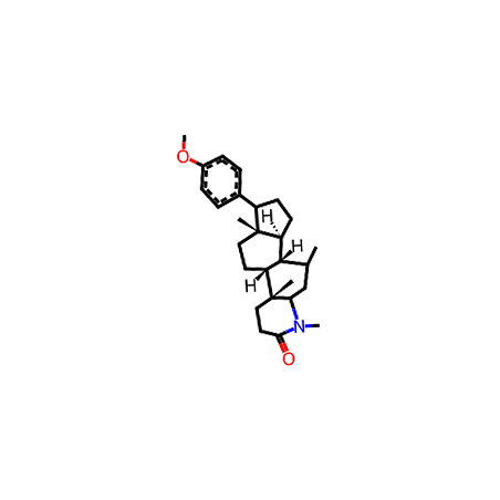 COc1ccc(C2CC[C@H]3[C@@H]4C(C)CC5N(C)C(=O)CC[C@]5(C)[C@@H]4CC[C@]23C)cc1